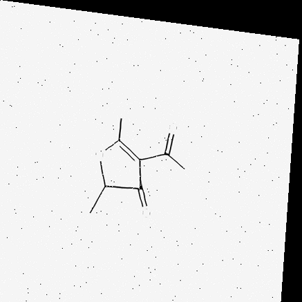 CC(=O)C1=C(C)OC(C)C1=O